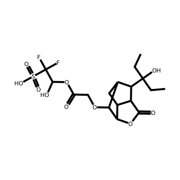 CCC(O)(CC)C1C2CC3C(OC(=O)C31)C2OCC(=O)OC(O)C(F)(F)S(=O)(=O)O